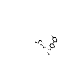 O=C(O)C[C@@H](Cc1ccc(-c2cccc(Cl)c2)cc1)NC(=O)c1nccc(C(=O)O)n1